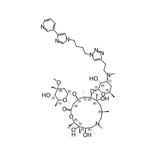 CO[C@]1(C)C[C@H](O[C@H]2[C@H](C)[C@@H](O[C@@H]3O[C@H](C)C[C@H](N(C)CCc4cn(CCCCn5cnc(-c6cccnc6)c5)nn4)[C@H]3O)[C@](C)(O)C[C@@H](C)CN(C)[C@H](C)[C@@H](O)[C@](C)(O)[C@@H](I)OC(=O)[C@@H]2C)O[C@@H](C)[C@@H]1O